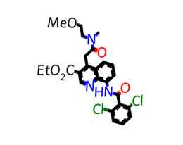 CCOC(=O)c1cnc2c(NC(=O)c3c(Cl)cccc3Cl)cccc2c1CC(=O)N(C)CCOC